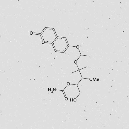 COC(C(CO)OC(N)=O)C(C)(C)OC(C)Oc1ccc2oc(=O)ccc2c1